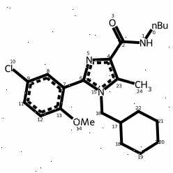 CCCCNC(=O)c1nc(-c2cc(Cl)ccc2OC)n(CC2CCCCC2)c1C